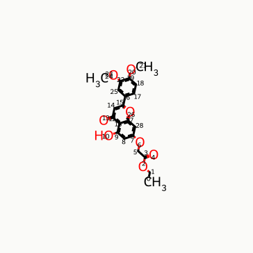 CCOC(=O)COc1cc(O)c2c(=O)cc(-c3ccc(OC)c(OC)c3)oc2c1